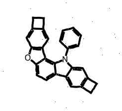 c1ccc(-n2c3cc4c(cc3c3ccc5oc6cc7c(cc6c5c32)CC7)CC4)cc1